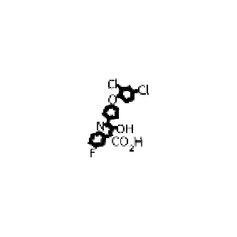 O=C(O)c1c(O)c(-c2ccc(Oc3ccc(Cl)cc3Cl)cc2)nc2ccc(F)cc12